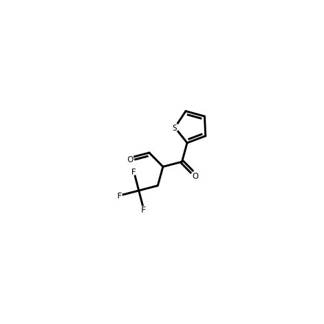 O=CC(CC(F)(F)F)C(=O)c1cccs1